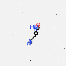 O=C1CCC(c2ccc(CCCCn3ccnc3)cc2)=NN1